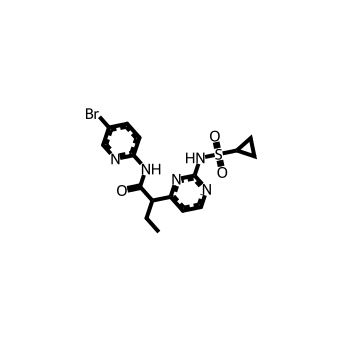 CCC(C(=O)Nc1ccc(Br)cn1)c1ccnc(NS(=O)(=O)C2CC2)n1